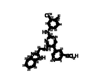 Cl.O=C(O)c1cncc(-c2cnc(Nc3ccc(F)c(Cl)c3)nc2NCc2nc3ccccc3[nH]2)c1